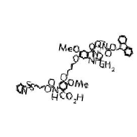 C=C1C[C@@H](C2OCCN2C(=O)OCC2c3ccccc3-c3ccccc32)N(C(=O)c2cc(OC)c(OCCCCCOc3cc(NC(=O)OCCCSSc4ccccn4)c(C(=O)O)cc3OC)cc2N)C1